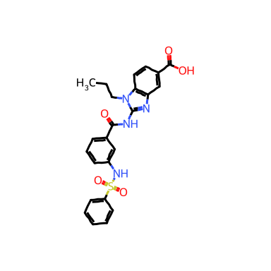 CCCn1c(NC(=O)c2cccc(NS(=O)(=O)c3ccccc3)c2)nc2cc(C(=O)O)ccc21